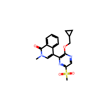 Cn1cc(-c2nc(S(C)(=O)=O)cnc2OCC2CC2)c2ccccc2c1=O